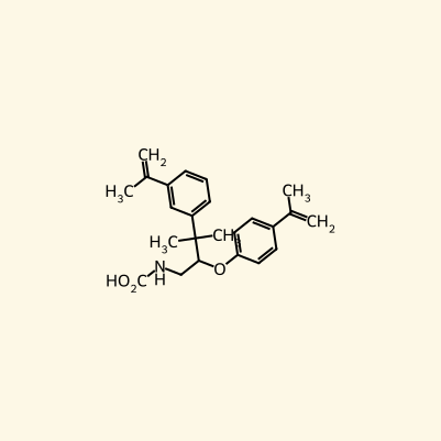 C=C(C)c1ccc(OC(CNC(=O)O)C(C)(C)c2cccc(C(=C)C)c2)cc1